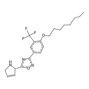 CCCCCCCCOc1ccc(-c2noc(C3C=CCN3)n2)cc1C(F)(F)F